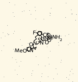 COc1ccc(C2(C(=O)N(CCCc3cc(C(F)(F)F)ccc3F)Cc3nc(C(=O)NS(=O)(=O)C(C)(C)N)c(C)s3)CC2)nc1